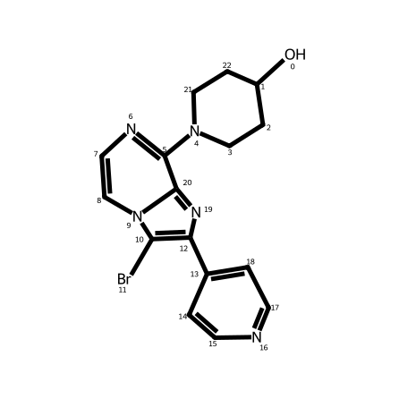 OC1CCN(c2nccn3c(Br)c(-c4ccncc4)nc23)CC1